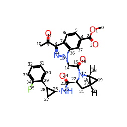 COC(=O)c1ccc2c(C(C)=O)nn(CC(=O)N3[C@@H]4C[C@@H]4C[C@H]3C(=O)N[C@@H]3C[C@H]3c3ccccc3F)c2c1